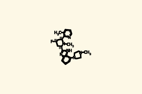 Cc1cccnc1[C@@H]1C[C@H](F)C[C@H](c2nc3cccc(N4CCN(C)CC4)c3[nH]2)N1C